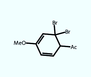 COC1=CC(Br)(Br)C(C(C)=O)C=C1